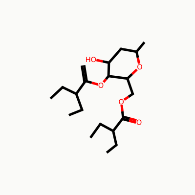 C=C(OC1C(O)CC(C)OC1COC(=O)C(CC)CC)C(CC)CC